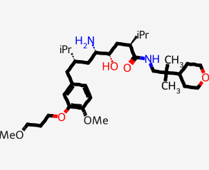 COCCCOc1cc(C[C@@H](C[C@H](N)[C@@H](O)C[C@H](C(=O)NCC(C)(C)C2CCOCC2)C(C)C)C(C)C)ccc1OC